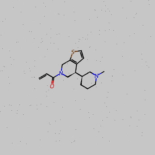 C=CC(=O)N1Cc2sccc2[C@@H]([C@@H]2CCCN(C)C2)C1